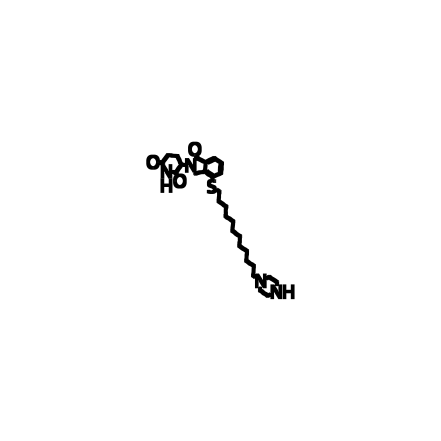 O=C1CCC(N2Cc3c(SCCCCCCCCCCCCN4CCNCC4)cccc3C2=O)C(=O)N1